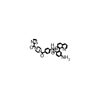 Nc1ccc(S(=O)(=O)Nc2ccc(C(=O)N3CCN(C(=O)c4nccs4)CC3)cc2)c(-c2cccc3cccnc23)c1